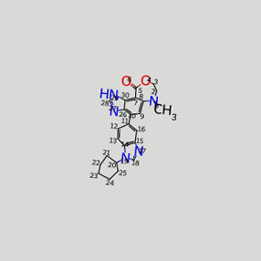 CN1CCOC(=O)c2c1cc(-c1ccc3c(c1)ncn3C1CCCCC1)c1nc[nH]c21